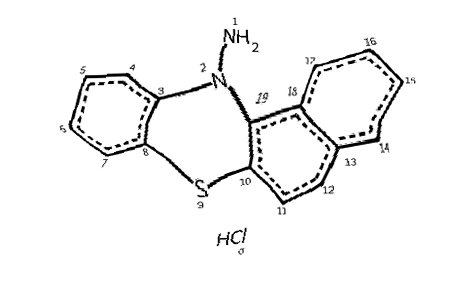 Cl.NN1c2ccccc2Sc2ccc3ccccc3c21